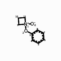 [O-][N+]1(Oc2ccccc2)CCC1